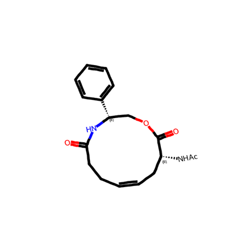 CC(=O)N[C@@H]1CC=CCCC(=O)N[C@H](c2ccccc2)COC1=O